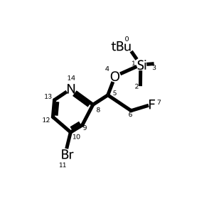 CC(C)(C)[Si](C)(C)OC(CF)c1cc(Br)ccn1